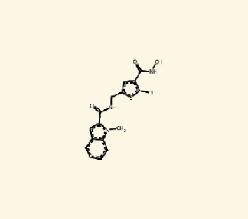 Cn1c(C(=O)NCc2cc(C(=O)NO)c(Cl)s2)cc2ccccc21